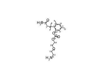 BC(=O)CC(C)(C)c1c(C)cc(C)cc1OC(=O)OCCOCCN